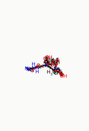 COCCOCC[N+]1=C(/C=C/C=C/C=C2/N(CCCCCC(=O)NCCNC(=O)CN=[N+]=[N-])c3ccc(S(=O)(=O)O)cc3C2(C)CCOCCOC)C(C)(C)c2cc(SOOO)ccc21